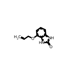 C=CCOc1cccc2[nH]c(=O)[nH]c12